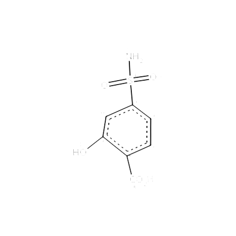 NS(=O)(=O)c1ccc(C(=O)O)c(O)c1